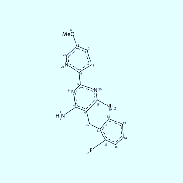 COc1ccc(-c2nc(N)c(Cc3ccccc3F)c(N)n2)nc1